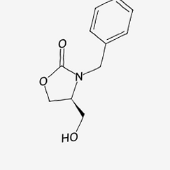 O=C1OC[C@H](CO)N1Cc1ccccc1